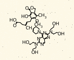 COc1c(C)c2c(c(O)c1C/C=C(\C)CCC(=O)O)C(=O)OC2.OCCN(CCO)c1nc(N2CCCCC2)c2nc(N(CCO)CCO)ncc2n1